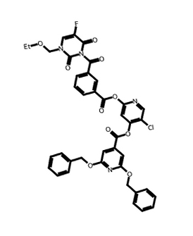 CCOCn1cc(F)c(=O)n(C(=O)c2cccc(C(=O)Oc3cc(OC(=O)c4cc(OCc5ccccc5)nc(OCc5ccccc5)c4)c(Cl)cn3)c2)c1=O